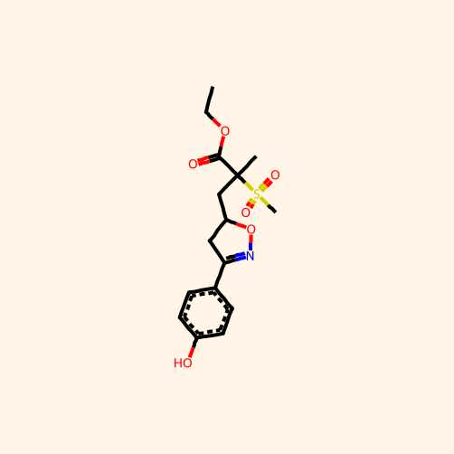 CCOC(=O)C(C)(CC1CC(c2ccc(O)cc2)=NO1)S(C)(=O)=O